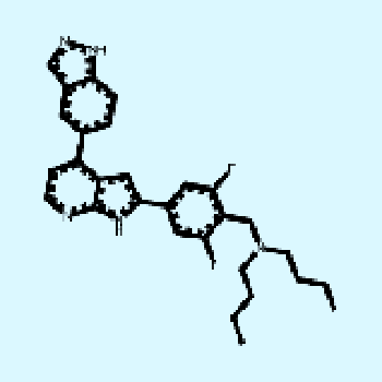 CCCCN(CCCC)Cc1c(F)cc(-c2cc3c(-c4ccc5[nH]ncc5c4)ccnc3[nH]2)cc1F